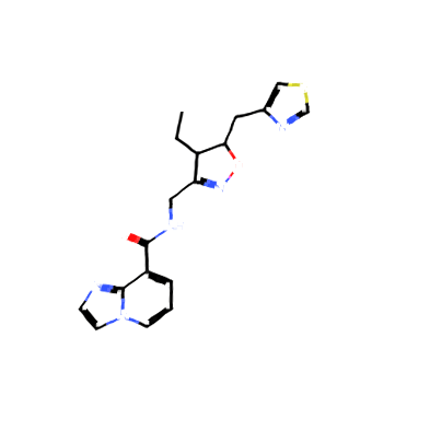 CCC1C(CNC(=O)c2cccn3ccnc23)=NOC1Cc1cscn1